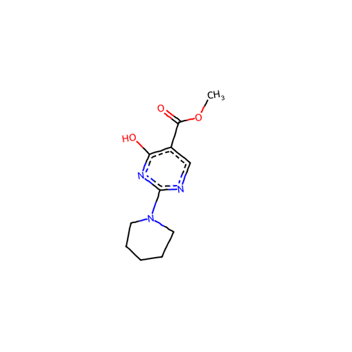 COC(=O)c1cnc(N2CCCCC2)nc1O